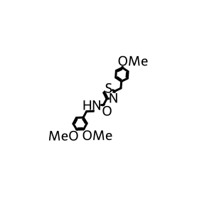 COc1ccc(Cc2nc(C(=O)NCCc3ccc(OC)c(OC)c3)cs2)cc1